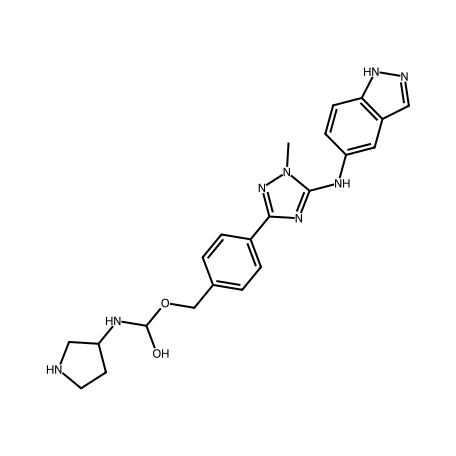 Cn1nc(-c2ccc(COC(O)NC3CCNC3)cc2)nc1Nc1ccc2[nH]ncc2c1